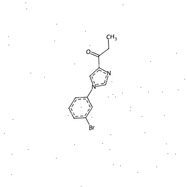 CCC(=O)c1cn(-c2cccc(Br)c2)cn1